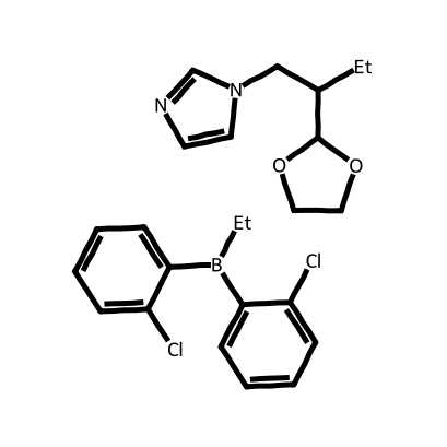 CCB(c1ccccc1Cl)c1ccccc1Cl.CCC(Cn1ccnc1)C1OCCO1